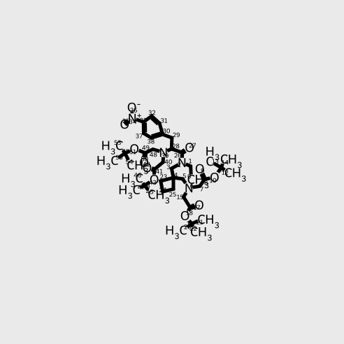 CCN(CC1(CN(CC(=O)OC(C)(C)C)CC(=O)OC(C)(C)C)CCC1)C(=O)C(Cc1ccc([N+](=O)[O-])cc1)N(CC(=O)OC(C)(C)C)CC(=O)OC(C)(C)C